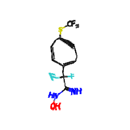 N=C(NO)C(F)(F)c1ccc(SC(F)(F)F)cc1